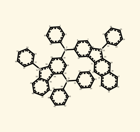 c1ccc(N(c2ccc3c(c2)c2cc4ccccc4cc2n3-c2ccccc2)c2cc(N(c3ccccc3)c3ccccc3)c3c4ccccc4n(-c4ccccc4)c3c2)cc1